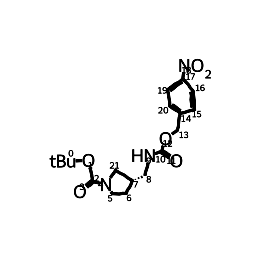 CC(C)(C)OC(=O)N1CC[C@@H](CNC(=O)OCc2ccc([N+](=O)[O-])cc2)C1